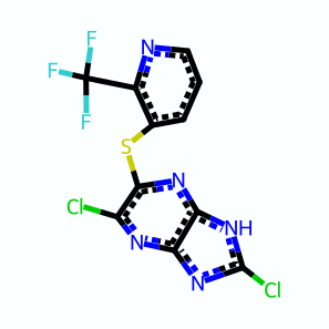 FC(F)(F)c1ncccc1Sc1nc2[nH]c(Cl)nc2nc1Cl